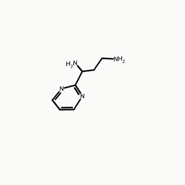 NCCC(N)c1ncccn1